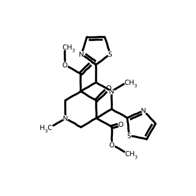 COC(=O)C12CN(C)CC(C(=O)OC)(C1=O)C(c1nccs1)N(C)C2c1nccs1